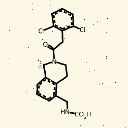 C[C@H]1c2cccc(CNC(=O)O)c2CCN1C(=O)Cc1c(Cl)cccc1Cl